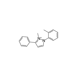 Cc1ccccc1-n1ccc(-c2ccccc2)[n+]1C